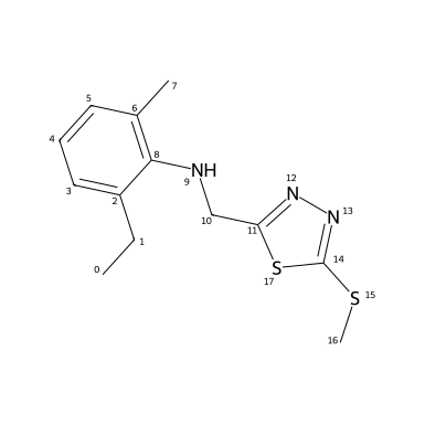 CCc1cccc(C)c1NCc1nnc(SC)s1